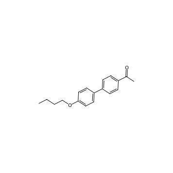 CCCCOc1ccc(-c2ccc(C(C)=O)cc2)cc1